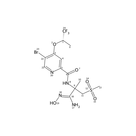 C[C@H](Oc1cc(C(=O)NC(C)(CS(C)(=O)=O)/C(N)=N/O)ncc1Br)C(F)(F)F